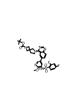 COc1ncc(-c2ccc3ncnc(N4CCC5(CN(C(=O)OC(C)(C)C)C5)C4)c3c2)cc1NS(=O)(=O)c1ccc(F)cc1F